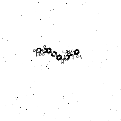 Cc1cccc(C)c1Nc1nn(C)c2nc(Nc3ccc(N4CCN(c5ccc6c(c5)C(=O)N(C5CCC(=O)NC5=O)C6=O)CC4)cc3)ncc12